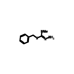 CN/C(=N\N)SCc1ccccc1